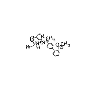 COC(=O)c1ccccc1-c1ccc([C@@H](C)Nc2nccc(Cl)c2NC(=O)CC#N)cc1